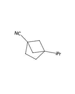 CC(C)C12CCC(C#N)(C1)C2